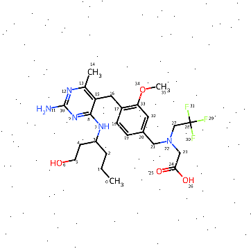 CCCC(CCO)Nc1nc(N)nc(C)c1Cc1ccc(CN(CC(=O)O)CC(F)(F)F)cc1OC